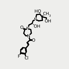 C[C@@]1(CO)CCN(C[C@H](O)CN2CCN(C(=O)/C=C/c3ccc(F)c(Cl)c3)CCC2=O)C[C@@H]1O